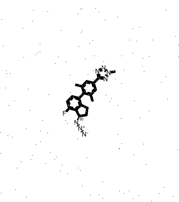 Cc1cc(-c2nnn(C)n2)cc(C)c1-c1ccc(F)c2c1CC[C@H]2N=[N+]=[N-]